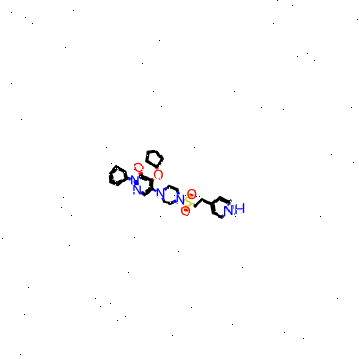 O=c1c(OC2CCCC2)c(N2CCN(S(=O)(=O)CCC3=CCNC=C3)CC2)cnn1-c1ccccc1